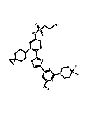 Cc1cc(-c2noc(-c3ccc(NS(=O)(=O)CCO)cc3N3CCC4(CC3)CC4)n2)nc(N2CCC(F)(F)CC2)n1